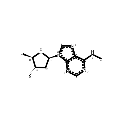 CNc1ncnc2c1ncn2[C@H]1C[C@H](C)[C@@H](C)O1